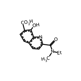 CCN(C)C(=O)c1ccc2ccc(C(=O)O)c(O)c2n1